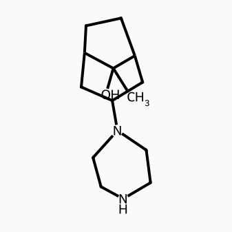 CC1(O)C2CCC1CC(N1CCNCC1)C2